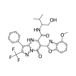 COc1cccc2oc(-c3c(C(=O)NC(CO)C(C)C)[nH]c4c(-c5ccccc5)c(C(F)(F)F)nn4c3=O)nc12